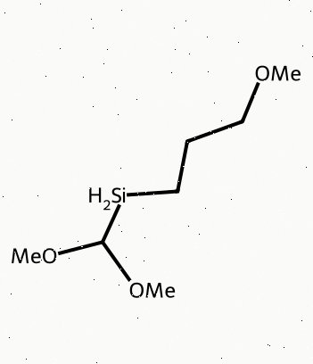 COCCC[SiH2]C(OC)OC